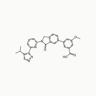 COc1cc(C(=O)O)cc(-c2ccc3c(c2)C(=O)N(c2cccc(-c4nncn4C(C)C)n2)C3)c1